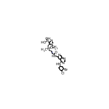 Cn1cnc(N(O)O)c1C[N+](C)(C)C/C=C/C(=O)Nc1cc2c(Nc3ccc(Cl)c(Br)c3)ncnc2cn1